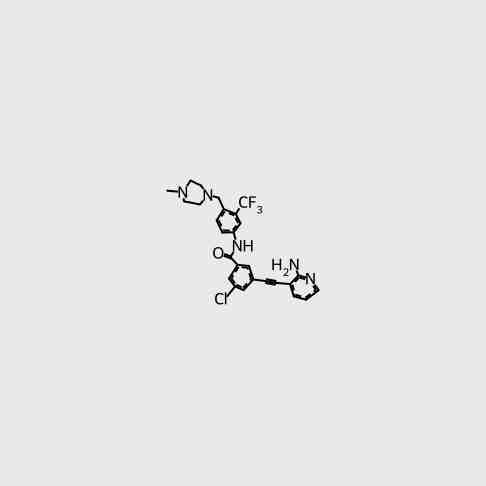 CN1CCN(Cc2ccc(NC(=O)c3cc(Cl)cc(C#Cc4cccnc4N)c3)cc2C(F)(F)F)CC1